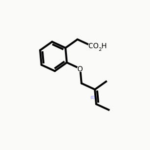 C/C=C(\C)COc1ccccc1CC(=O)O